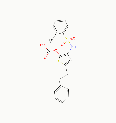 Cc1ccccc1S(=O)(=O)Nc1cc(CCc2ccccc2)sc1OC(=O)O